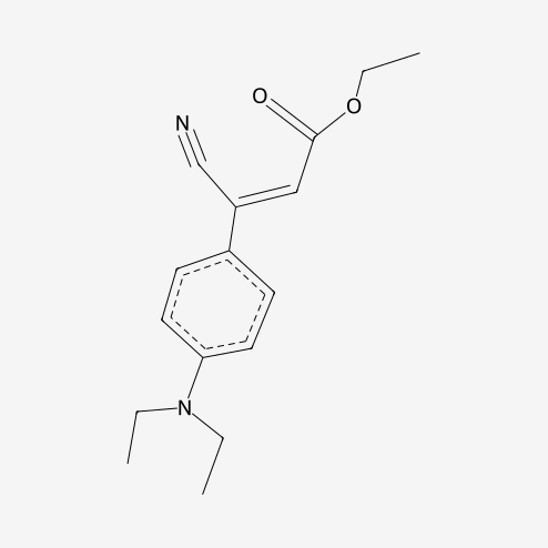 CCOC(=O)C=C(C#N)c1ccc(N(CC)CC)cc1